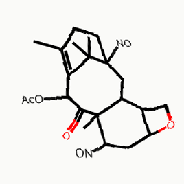 CC(=O)OC1C(=O)C2(C)C(N=O)CC3OCC3C2CC2(N=O)CCC(C)=C1C2(C)C